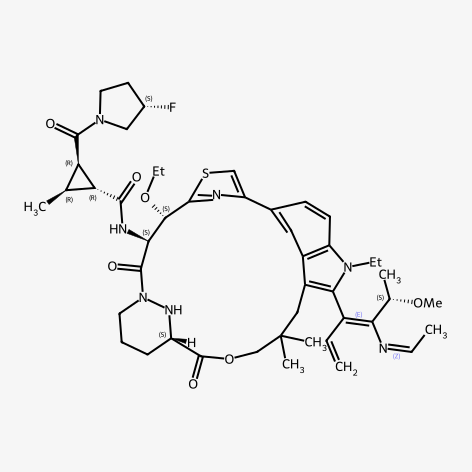 C=C/C(=C(\N=C/C)[C@H](C)OC)c1c2c3cc(ccc3n1CC)-c1csc(n1)[C@@H](OCC)[C@H](NC(=O)[C@@H]1[C@@H](C)[C@H]1C(=O)N1CC[C@H](F)C1)C(=O)N1CCC[C@H](N1)C(=O)OCC(C)(C)C2